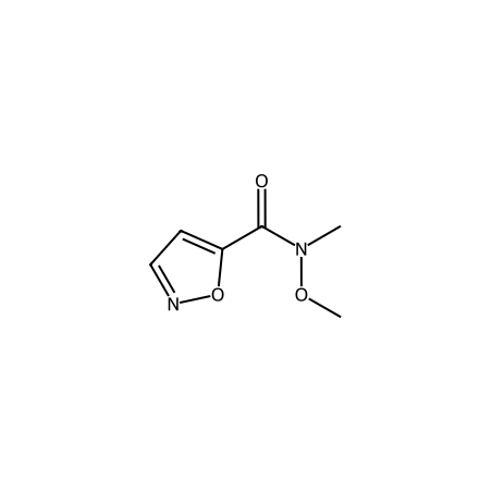 CON(C)C(=O)c1ccno1